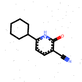 N#Cc1ccc(C2CCCCC2)[nH]c1=O